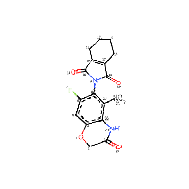 O=C1COc2cc(F)c(N3C(=O)C4=C(CCCC4)C3=O)c([N+](=O)[O-])c2N1